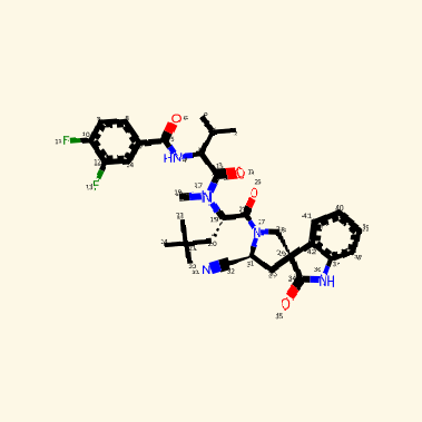 CC(C)C(NC(=O)c1ccc(F)c(F)c1)C(=O)N(C)[C@@H](CC(C)(C)C)C(=O)N1C[C@]2(C[C@H]1C#N)C(=O)Nc1ccccc12